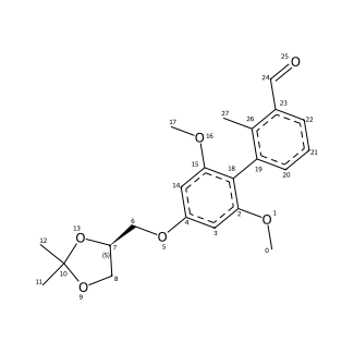 COc1cc(OC[C@H]2COC(C)(C)O2)cc(OC)c1-c1cccc(C=O)c1C